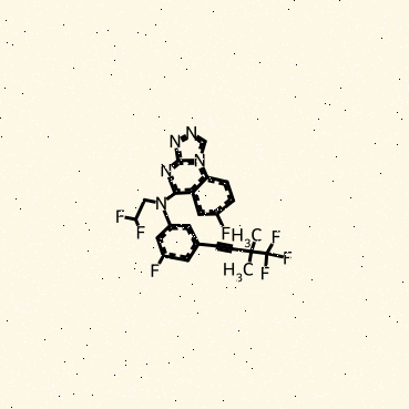 CC(C)(C#Cc1cc(F)cc(N(CC(F)F)c2nc3nncn3c3ccc(F)cc23)c1)C(F)(F)F